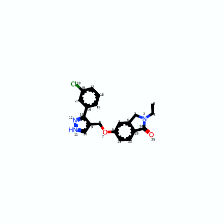 CCN1Cc2cc(OCc3c[nH]nc3-c3cccc(Cl)c3)ccc2C1=O